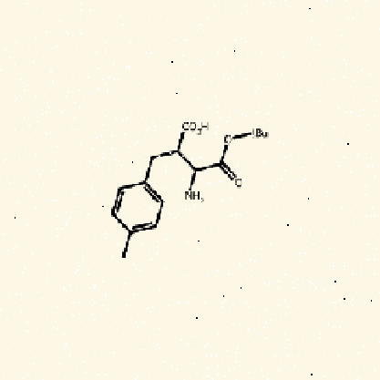 Cc1ccc(CC(C(=O)O)C(N)C(=O)OC(C)(C)C)cc1